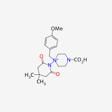 COc1ccc(C[N+]2(N3C(=O)CC(C)(C)CC3=O)CCN(C(=O)O)CC2)cc1